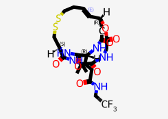 CC1(C)NC(=O)[C@H]2CSSCC/C=C/[C@@H](CC(=O)N[C@H](CCC(=O)NCC(F)(F)F)C(=O)N2)OC(=O)CNC1=O